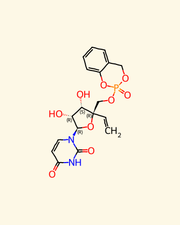 C=C[C@]1(COP2(=O)OCc3ccccc3O2)O[C@@H](n2ccc(=O)[nH]c2=O)[C@H](O)[C@@H]1O